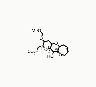 COCOC1CC2OC3CC=CCO[C@@H]3[C@@H](O)[C@@H]2O[C@@H]1CC(=O)O